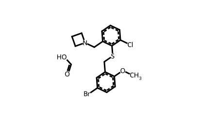 COc1ccc(Br)cc1CSc1c(Cl)cccc1CN1CCC1.O=CO